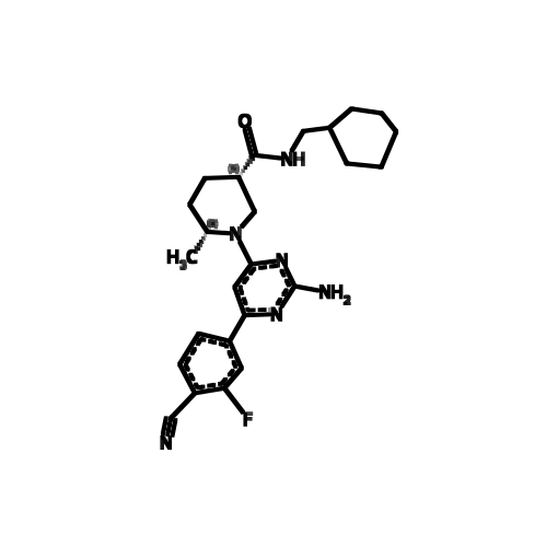 C[C@@H]1CC[C@H](C(=O)NCC2CCCCC2)CN1c1cc(-c2ccc(C#N)c(F)c2)nc(N)n1